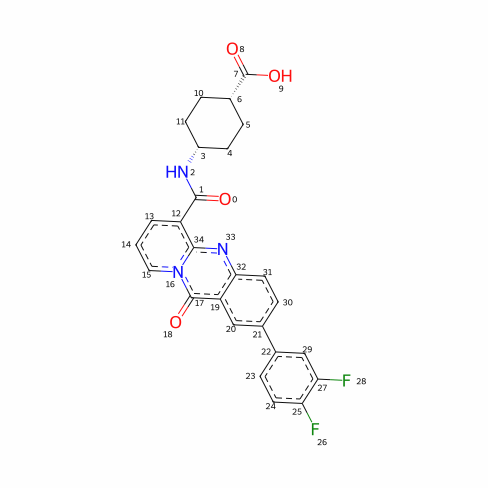 O=C(N[C@H]1CC[C@@H](C(=O)O)CC1)c1cccn2c(=O)c3cc(-c4ccc(F)c(F)c4)ccc3nc12